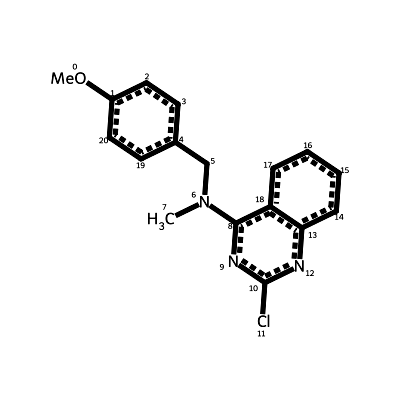 COc1ccc(CN(C)c2nc(Cl)nc3ccccc23)cc1